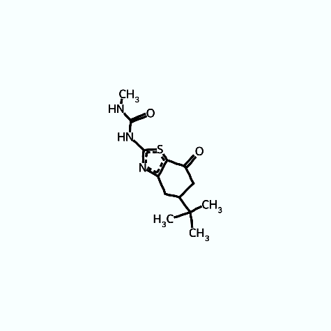 CNC(=O)Nc1nc2c(s1)C(=O)CC(C(C)(C)C)C2